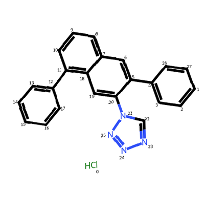 Cl.c1ccc(-c2cc3cccc(-c4ccccc4)c3cc2-n2cnnn2)cc1